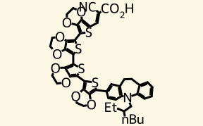 CCCCC(CC)CN1c2ccccc2CCc2cc(-c3sc(-c4sc(-c5sc(-c6sc(/C=C(\C#N)C(=O)O)c7c6OCCO7)c6c5OCCO6)c5c4OCCO5)c4c3OCCO4)ccc21